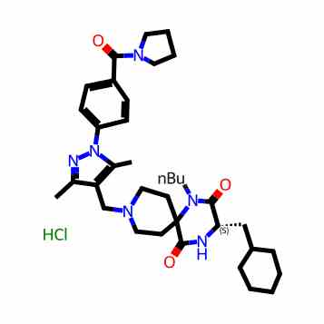 CCCCN1C(=O)[C@H](CC2CCCCC2)NC(=O)C12CCN(Cc1c(C)nn(-c3ccc(C(=O)N4CCCC4)cc3)c1C)CC2.Cl